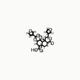 CC12CCC3C(=O)OC(c4ccoc4)CC3(C)C1C(=O)C(OC(=O)c1ccoc1)CC2C(=O)O